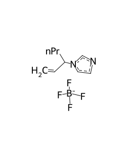 C=CC(CCC)n1ccnc1.F[B-](F)(F)F